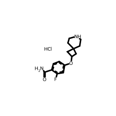 Cl.NC(=O)c1ccc(OC2CC3(CCNCC3)C2)cc1F